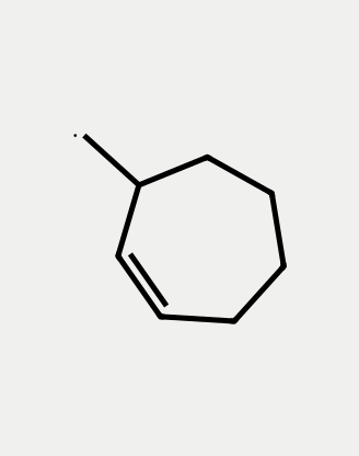 [CH2]C1C=CCCCC1